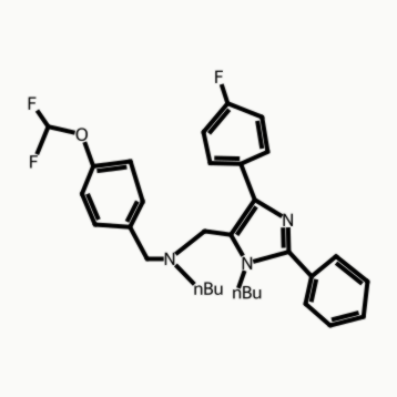 CCCCN(Cc1ccc(OC(F)F)cc1)Cc1c(-c2ccc(F)cc2)nc(-c2ccccc2)n1CCCC